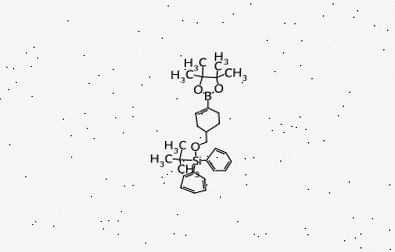 CC1(C)OB(C2=CCC(CO[Si](c3ccccc3)(c3ccccc3)C(C)(C)C)CC2)OC1(C)C